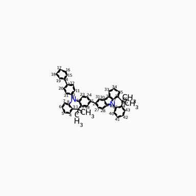 CC1(C)c2ccccc2N(c2ccc(-c3ccccc3)cc2)c2ccc(-c3ccc4c(c3)c3cccc5c3n4-c3ccccc3C5(C)C)cc21